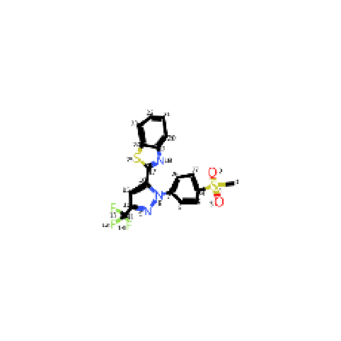 CS(=O)(=O)c1ccc(-n2nc(C(F)(F)F)cc2-c2nc3ccccc3s2)cc1